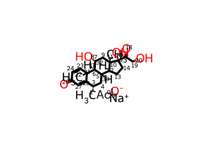 CC(=O)[O-].C[C@H]1C[C@@H]2[C@H]([C@@H](O)C[C@@]3(C)[C@H]2CC[C@]3(O)C(=O)CO)[C@@]2(C)C=CC(=O)C=C12.[Na+]